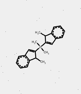 CC1[C]([Zr]([CH3])([CH3])[C]2=Cc3ccccc3C2C)=Cc2ccccc21